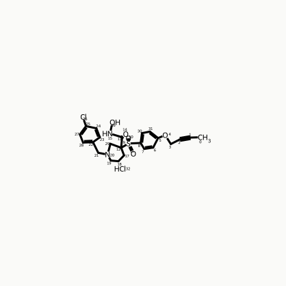 CC#CCOc1ccc(S(=O)(=O)C2(C(=O)NO)CCCN(Cc3ccc(Cl)cc3)C2)cc1.Cl